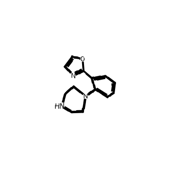 c1ccc(N2CCNCC2)c(-c2ncco2)c1